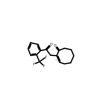 O=C1CCCCC/C=C\1CC(=O)c1ccccc1C(F)(F)F